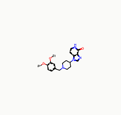 CCOc1cc(CN2CCC(n3cnc4c(=O)[nH]ccc43)CC2)ccc1OC(C)C